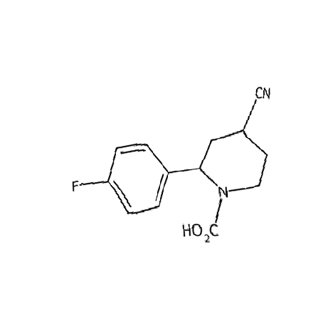 N#CC1CCN(C(=O)O)C(c2ccc(F)cc2)C1